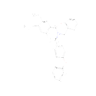 COc1cc(C(=O)N(Cc2ccccc2)Cc2ccc(Oc3ccccc3)cc2)c(C(=O)O)cc1C(=O)O